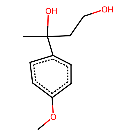 COc1ccc(C(C)(O)CCO)cc1